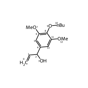 C=CC(O)c1cc(OC)c(OCCCC)c(OC)c1